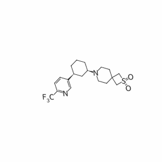 O=S1(=O)CC2(CCN([C@@H]3CCC[C@H](c4ccc(C(F)(F)F)nc4)C3)CC2)C1